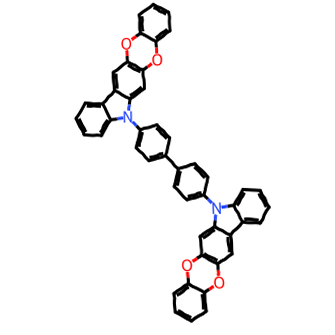 c1ccc2c(c1)Oc1cc3c4ccccc4n(-c4ccc(-c5ccc(-n6c7ccccc7c7cc8c(cc76)Oc6ccccc6O8)cc5)cc4)c3cc1O2